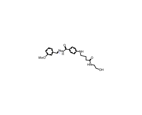 COc1cccc(/C=N/NC(=O)c2ccc(NCCCC(=O)NCCO)cc2)c1